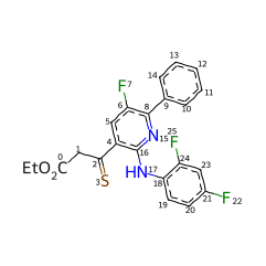 CCOC(=O)CC(=S)c1cc(F)c(-c2ccccc2)nc1Nc1ccc(F)cc1F